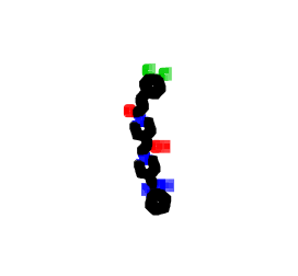 O=C(/C=C/c1ccc(Cl)c(Cl)c1)N1CCC(C(O)CN2CCC(c3nc4ccccc4[nH]3)CC2)CC1